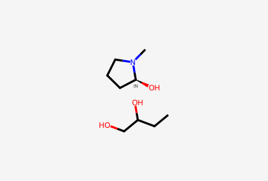 CCC(O)CO.CN1CCC[C@@H]1O